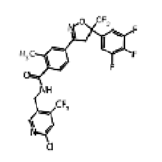 Cc1cc(C2=NOC(c3cc(F)c(F)c(F)c3)(C(F)(F)F)C2)ccc1C(=O)NCc1cnc(Cl)cc1C(F)(F)F